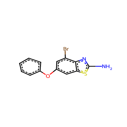 Nc1nc2c(Br)cc(Oc3ccccc3)cc2s1